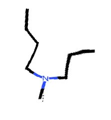 [C]N(CCC)CCCC